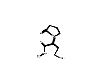 CC(C)NC(=O)C(CCO)N1CCCC1=O